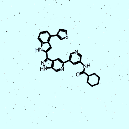 O=C(Nc1cncc(-c2cc3c(-c4cc5c(-c6ccsc6)cccc5[nH]4)n[nH]c3cn2)c1)C1CCCCC1